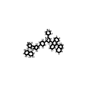 c1ccc2c(-c3c4ccccc4c(-c4cc(-c5ccncc5)nc(-c5ccc(-c6ccc7c(c6)c6cnccc6n7-c6cccc7ccccc67)cc5)c4)c4ccccc34)cccc2c1